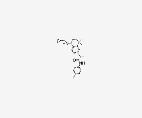 CC1(C)CCC(NCC2CC2)c2ccc(NC(=O)Nc3ccc(I)cc3)cc21